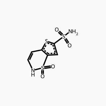 NS(=O)(=O)c1cc2c(s1)C=CNS2(=O)=O